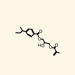 C=C(C)C(=O)OCC(O)COC(=O)c1ccc(C(C)CC)cc1